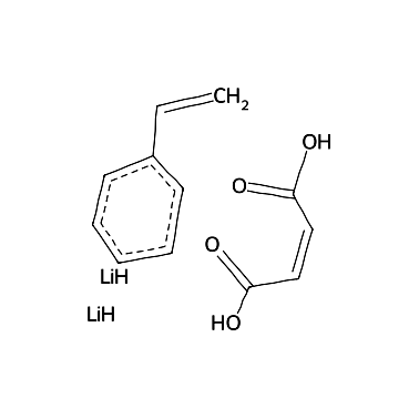 C=Cc1ccccc1.O=C(O)/C=C\C(=O)O.[LiH].[LiH]